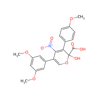 COc1ccc(C2=C([N+](=O)[O-])C(c3cc(OC)cc(OC)c3)=COC2(O)C(=O)O)cc1